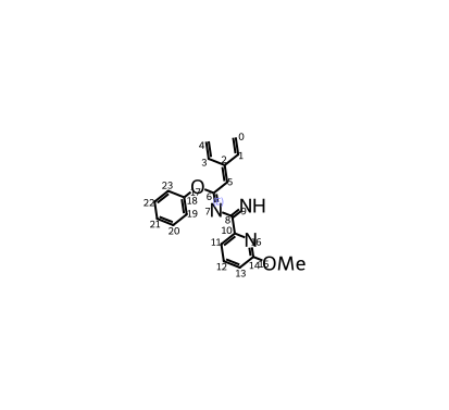 C=CC(C=C)=C/C(=N\C(=N)c1cccc(OC)n1)Oc1ccccc1